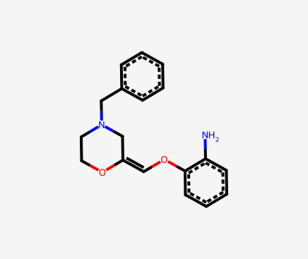 Nc1ccccc1OC=C1CN(Cc2ccccc2)CCO1